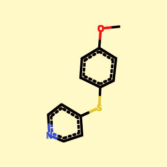 COc1ccc(Sc2ccncc2)cc1